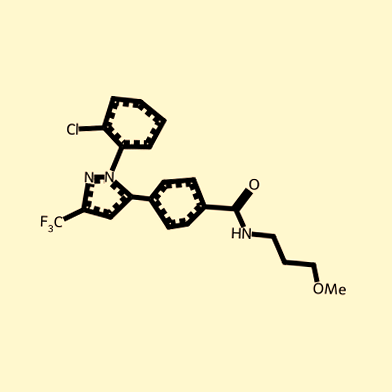 COCCCNC(=O)c1ccc(-c2cc(C(F)(F)F)nn2-c2ccccc2Cl)cc1